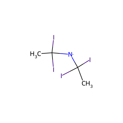 CC(I)(I)[N]C(C)(I)I